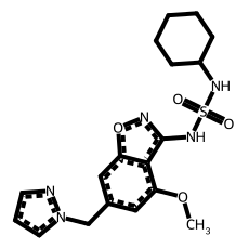 COc1cc(Cn2cccn2)cc2onc(NS(=O)(=O)NC3CCCCC3)c12